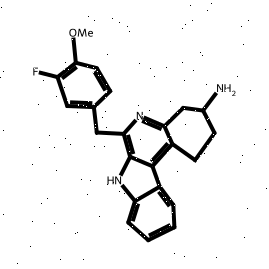 COc1ccc(Cc2nc3c(c4c2[nH]c2ccccc24)CCC(N)C3)cc1F